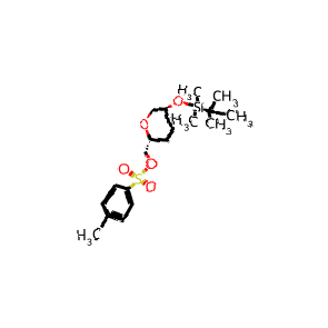 Cc1ccc(S(=O)(=O)OC[C@H]2CC[C@H](O[Si](C)(C)C(C)(C)C)CO2)cc1